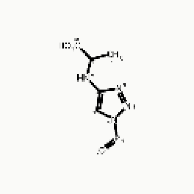 CC(Nc1cn(P=O)nn1)C(=O)O